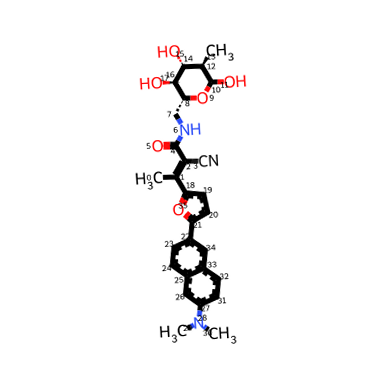 C/C(=C(/C#N)C(=O)NC[C@H]1OC(O)[C@H](C)[C@@H](O)[C@@H]1O)c1ccc(-c2ccc3cc(N(C)C)ccc3c2)o1